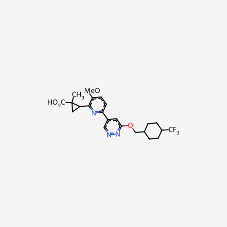 COc1ccc(-c2cnnc(OCC3CCC(C(F)(F)F)CC3)c2)nc1C1CC1(C)C(=O)O